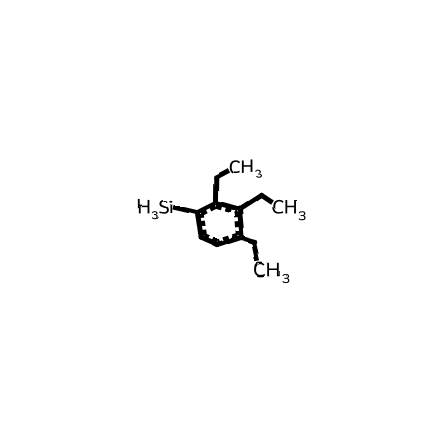 CCc1ccc([SiH3])c(CC)c1CC